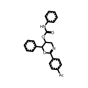 CC(=O)c1ccc(C2=NCC(OC(=O)Nc3ccccc3)C(c3ccccc3)O2)cc1